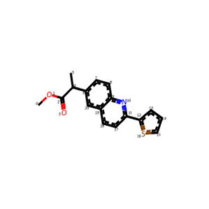 COC(=O)C(C)c1ccc2nc(-c3cccs3)ccc2c1